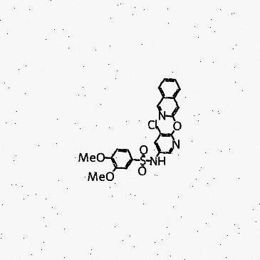 COc1ccc(S(=O)(=O)Nc2cnc(Oc3cc4ccccc4cn3)c(Cl)c2)cc1OC